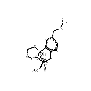 COCc1ccc2c(c1)[C@]13CCCC[C@@H]1[C@H](C2)N(C)CC3